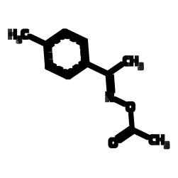 CC(=O)O/N=C(\C)c1ccc(C)cc1